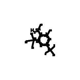 C[SiH2]c1c(C)cc(C(C)(C)C)cc1C(C)(C)C